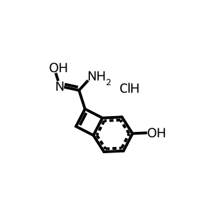 Cl.NC(=NO)C1=Cc2ccc(O)cc21